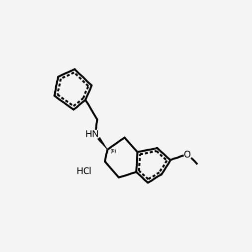 COc1ccc2c(c1)C[C@H](NCc1ccccc1)CC2.Cl